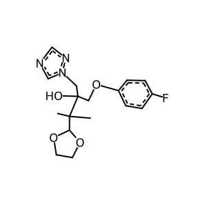 CC(C)(C1OCCO1)C(O)(COc1ccc(F)cc1)Cn1cncn1